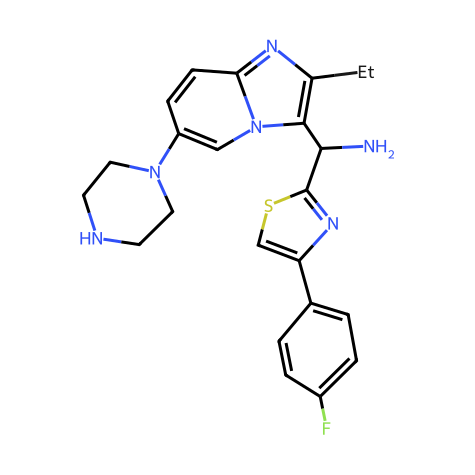 CCc1nc2ccc(N3CCNCC3)cn2c1C(N)c1nc(-c2ccc(F)cc2)cs1